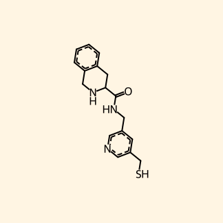 O=C(NCc1cncc(CS)c1)C1Cc2ccccc2CN1